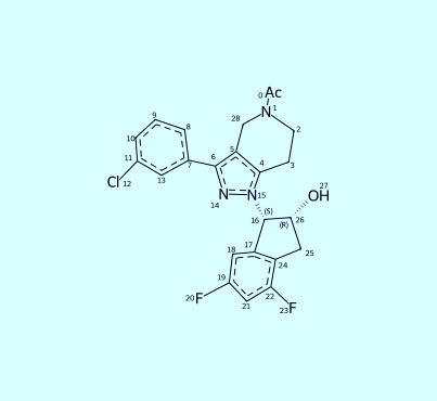 CC(=O)N1CCc2c(c(-c3cccc(Cl)c3)nn2[C@H]2c3cc(F)cc(F)c3C[C@H]2O)C1